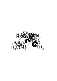 Cn1ccc2c(nc(Br)n2[C@@H]2O[C@H](CO[Si](C)(C)C(C)(C)C)[C@@H](O[Si](C)(C)C(C)(C)C)[C@H]2O[Si](C)(C)C(C)(C)C)c1=O